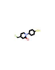 O=c1cc(CF)ccn1-c1ccc(S)cc1